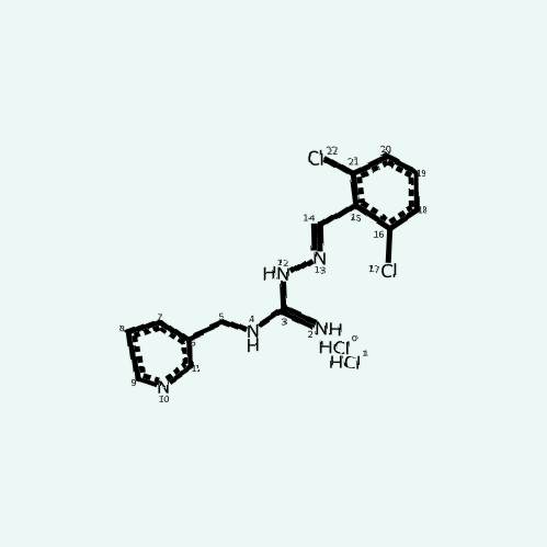 Cl.Cl.N=C(NCc1cccnc1)N/N=C/c1c(Cl)cccc1Cl